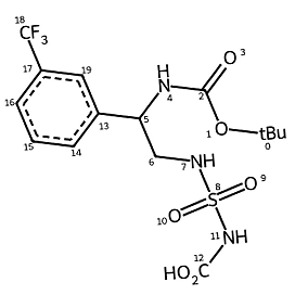 CC(C)(C)OC(=O)NC(CNS(=O)(=O)NC(=O)O)c1cccc(C(F)(F)F)c1